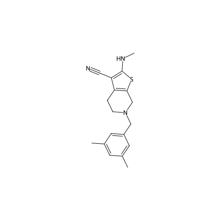 CNc1sc2c(c1C#N)CCN(Cc1cc(C)cc(C)c1)C2